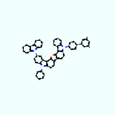 N#Cc1cc(C#N)cc(-c2ccc(-n3c4ccccc4c4c5oc6c(ccc7c6c6cc(-n8c9ccccc9c9ccccc98)ccc6n7-c6ccccc6)c5ccc43)cc2)c1